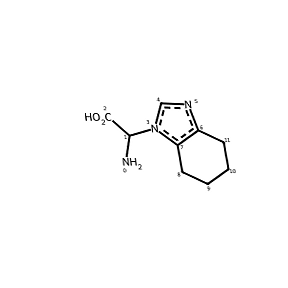 NC(C(=O)O)n1cnc2c1CCCC2